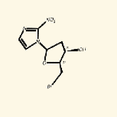 O=[N+]([O-])c1nccn1C1C[C@@H](O)[C@@H](CBr)O1